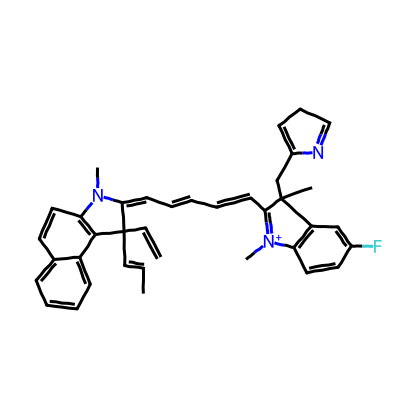 C=CC1(/C=C/C)\C(=C/C=C/C=C/C2=[N+](C)c3ccc(F)cc3C2(C)CC2=CCC=N2)N(C)c2ccc3ccccc3c21